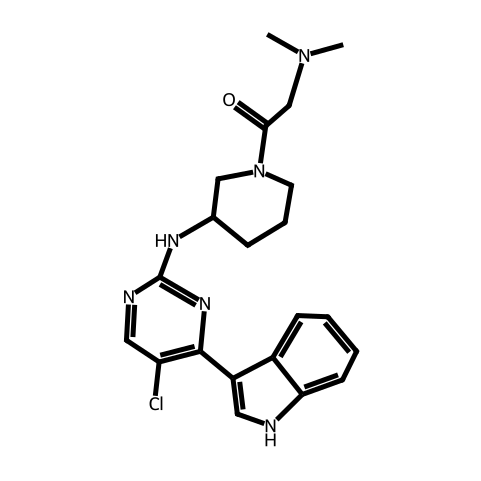 CN(C)CC(=O)N1CCCC(Nc2ncc(Cl)c(-c3c[nH]c4ccccc34)n2)C1